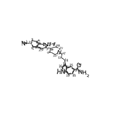 N#Cc1ccc2[nH]c(C3CCN(CCCc4c[nH]c5ccc(C(N)=O)cc45)CC3)cc2c1